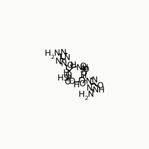 Nc1nc2c(ncn2[C@@H]2O[C@@H]3CO[P@](=O)(S)O[C@H]4C[C@H](n5cnc6c(N)ncnc65)O[C@@H]4CNS(=O)(=O)O[C@@H]2C3)c(=O)[nH]1